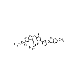 CCOC(=O)c1ccc2nc(Cc3cc(F)c(-c4cccc(OCc5ccc(C)cc5F)n4)cc3F)n(CCOC)c2c1